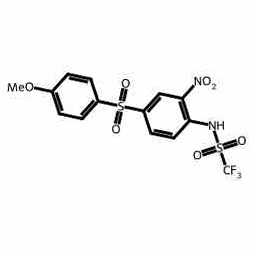 COc1ccc(S(=O)(=O)c2ccc(NS(=O)(=O)C(F)(F)F)c([N+](=O)[O-])c2)cc1